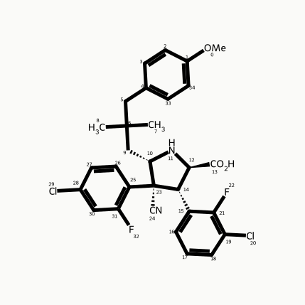 COc1ccc(CC(C)(C)C[C@@H]2N[C@@H](C(=O)O)[C@H](c3cccc(Cl)c3F)[C@@]2(C#N)c2ccc(Cl)cc2F)cc1